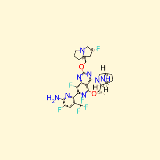 C[C@@H]1Oc2nc(-c3nc(N)c(F)cc3C(F)(F)F)c(F)c3nc(OC[C@@]45CCCN4C[C@H](F)C5)nc(c23)N2C[C@H]3CC[C@H](N3)[C@@H]12